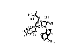 Nc1ncnc2c1ncn2[C@@H]1O[C@H](C(OP(=O)(O)O)OP(=O)(O)OP(=O)(O)OP(=O)(O)O)[C@@H](O)[C@H]1O